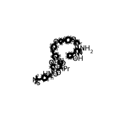 Cc1ncsc1-c1ccc([C@H](C)NC(=O)[C@@H]2C[C@@H](O)CN2C(=O)[C@@H](c2cc(N3CCC(CN4CCC(OC5CC(N6CCC(O[C@H]7CCN(c8cc(-c9ccccc9O)nnc8N)C7)CC6)C5)CC4)CC3)no2)C(C)C)cc1